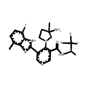 Cc1ccc(F)c2[nH]c(-c3cncc(C(=O)NC(C)C(F)(F)F)c3N3CCC(C)(N)C3)nc12